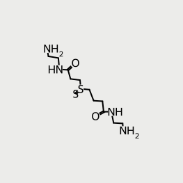 NCCNC(=O)CCCS(=S)CCC(=O)NCCN